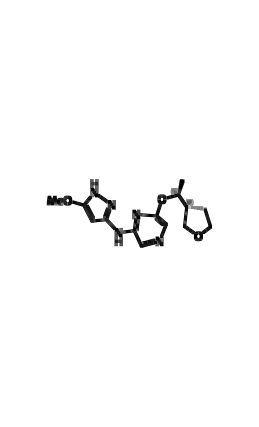 COc1cc(Nc2cncc(O[C@@H](C)[C@@H]3CCOC3)n2)n[nH]1